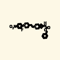 O=C(NC1CC2(CCN(CCC3CCN(c4ccc([N+](=O)[O-])cc4F)CC3)CC2)C1)OCc1ccccc1